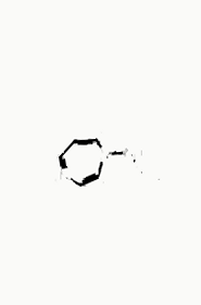 NNN1C=CC=NC=C1